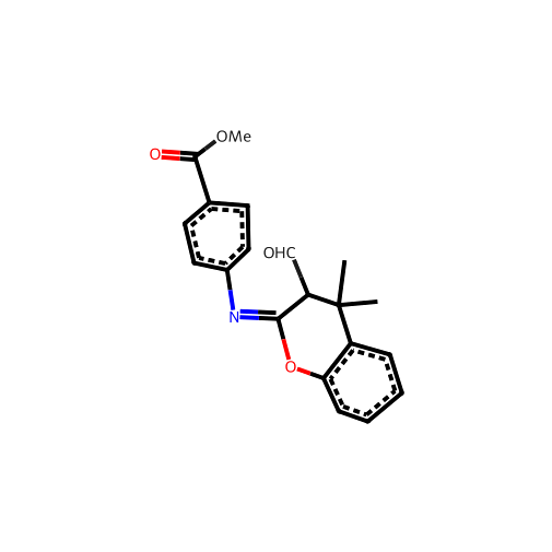 COC(=O)c1ccc(N=C2Oc3ccccc3C(C)(C)C2C=O)cc1